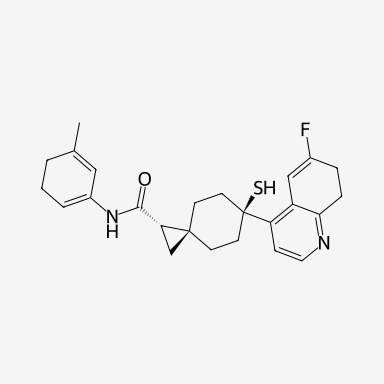 CC1=CC(NC(=O)[C@H]2C[C@]23CC[C@](S)(c2ccnc4c2C=C(F)CC4)CC3)=CCC1